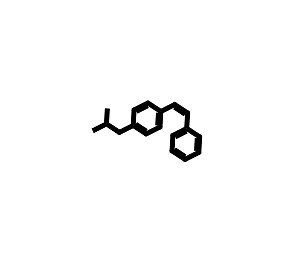 CC(C)Cc1ccc(/C=C\c2ccccc2)cc1